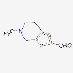 CN1CCc2sc(C=O)cc2C1